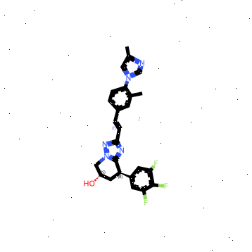 Cc1cn(-c2ccc(/C=C/c3nc4n(n3)C[C@@H](O)C[C@@H]4c3cc(F)c(F)c(F)c3)cc2C)cn1